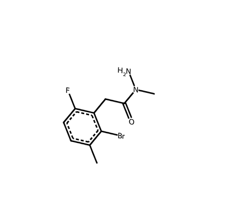 Cc1ccc(F)c(CC(=O)N(C)N)c1Br